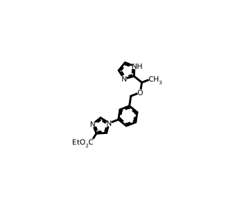 CCOC(=O)c1cn(-c2cccc(COC(C)c3ncc[nH]3)c2)cn1